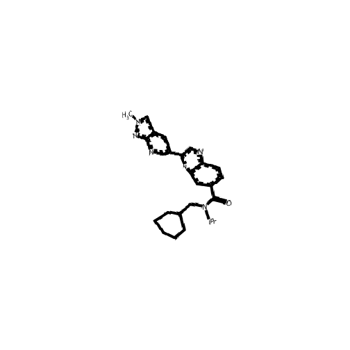 CC(C)N(CC1CCCCC1)C(=O)c1ccc2ncc(-c3cnc4nn(C)cc4c3)nc2c1